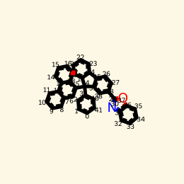 c1ccc(C2(c3cc4ccccc4c4ccccc34)c3ccccc3-c3ccc(-c4nc5ccccc5o4)cc32)cc1